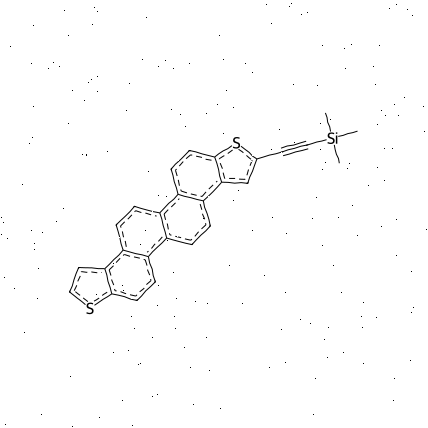 C[Si](C)(C)C#Cc1cc2c(ccc3c2ccc2c4ccc5sccc5c4ccc32)s1